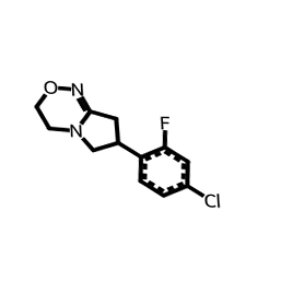 Fc1cc(Cl)ccc1C1CC2=NOCCN2C1